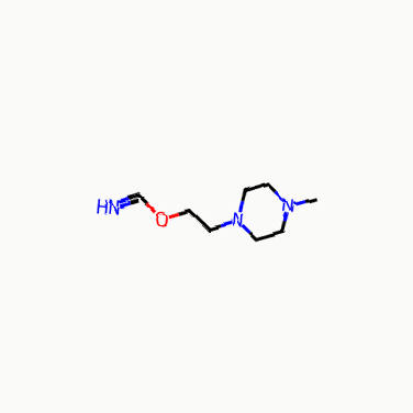 CN1CCN(CCOC=N)CC1